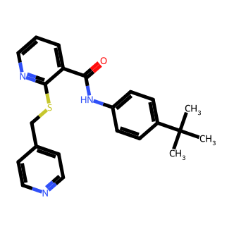 CC(C)(C)c1ccc(NC(=O)c2cccnc2SCc2ccncc2)cc1